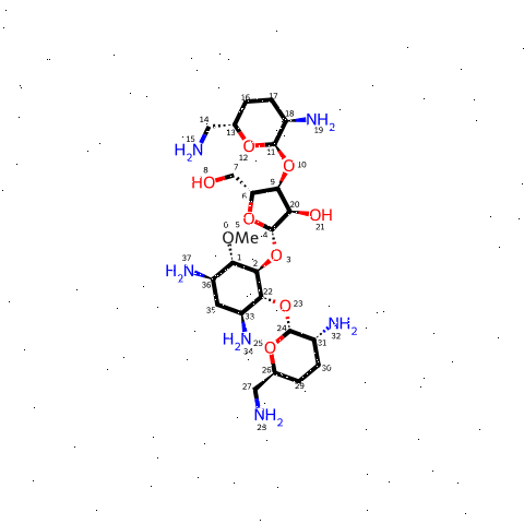 CO[C@@H]1[C@@H](O[C@@H]2O[C@H](CO)[C@@H](O[C@H]3O[C@H](CN)CC[C@H]3N)[C@H]2O)[C@H](O[C@H]2O[C@H](CN)CC[C@H]2N)[C@@H](N)C[C@H]1N